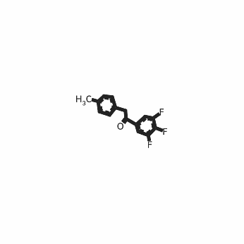 Cc1ccc(CC(=O)c2cc(F)c(F)c(F)c2)cc1